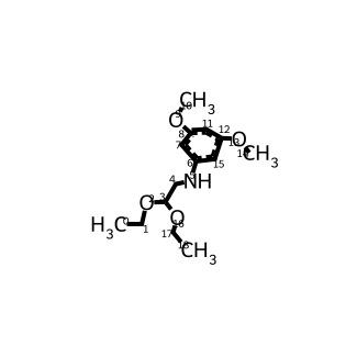 CCOC(CNc1cc(OC)cc(OC)c1)OCC